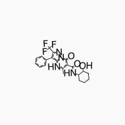 Cc1[nH]c2c(-c3ccccc3)c(C(F)(F)F)nn2c(=O)c1C(=O)NC1CCCCC1O